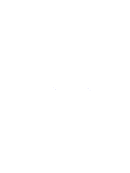 CC1CC2NCCC2CN1C